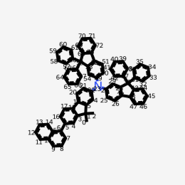 CC1(C)c2cc(-c3cccc4ccccc34)ccc2-c2ccc(N(c3ccc4c(c3)C(c3ccccc3)(c3ccccc3)c3ccccc3-4)c3ccc4c(c3)C(c3ccccc3)(c3ccccc3)c3ccccc3-4)cc21